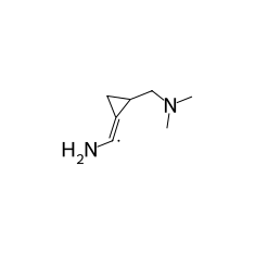 CN(C)CC1C/C1=[C]\N